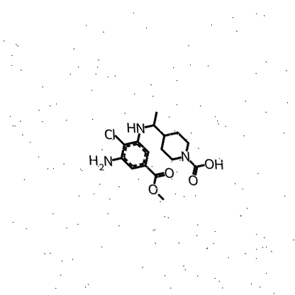 COC(=O)c1cc(N)c(Cl)c(NC(C)C2CCN(C(=O)O)CC2)c1